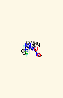 COc1nc(N2CCN(C(=O)/C=C/CN3CC4CCC(C3)O4)[C@@H](CC#N)C2)c2cnc(-c3cccc4ccc(F)c(Cl)c34)c(F)c2n1